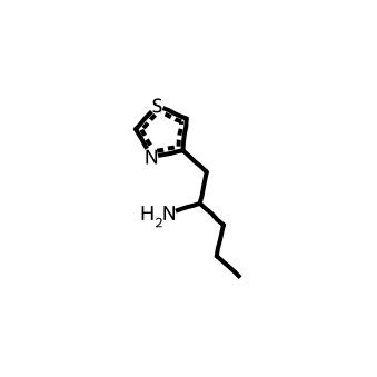 CCCC(N)Cc1cscn1